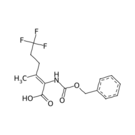 CC(CCC(F)(F)F)=C(NC(=O)OCc1ccccc1)C(=O)O